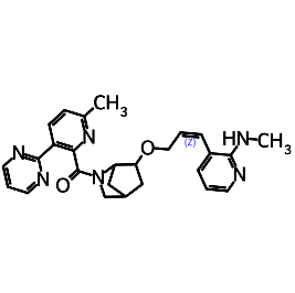 CNc1ncccc1/C=C\COC1CC2CC1N(C(=O)c1nc(C)ccc1-c1ncccn1)C2